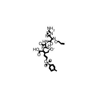 C=CCO/N=C(\C(=O)NC1C(=O)N2C(C(=O)O)=C(/C=C/OS(=O)(=O)c3ccc(C)cc3)C[S+]([O-])[C@H]12)c1nsc(N)n1